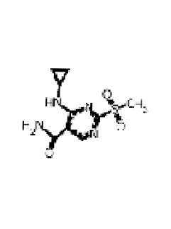 CS(=O)(=O)c1ncc(C(N)=O)c(NC2CC2)n1